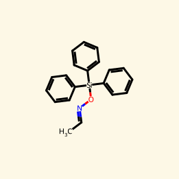 CC=NO[Si](c1ccccc1)(c1ccccc1)c1ccccc1